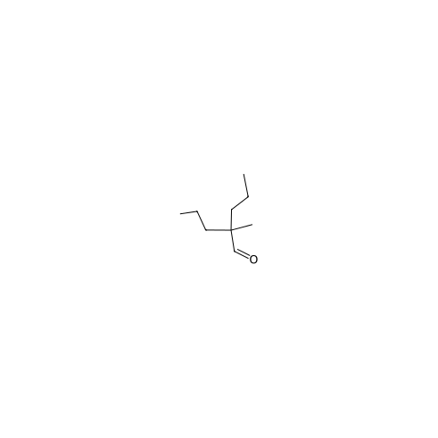 CCCC(C)(C=O)CCC